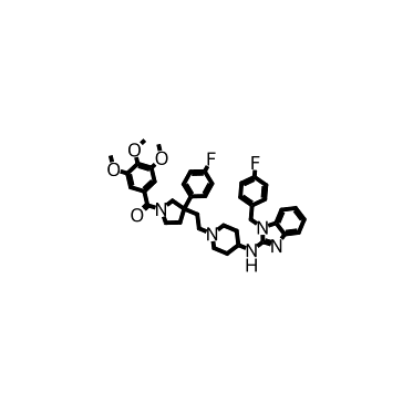 COc1cc(C(=O)N2CCC(CCN3CCC(Nc4nc5ccccc5n4Cc4ccc(F)cc4)CC3)(c3ccc(F)cc3)C2)cc(OC)c1OC